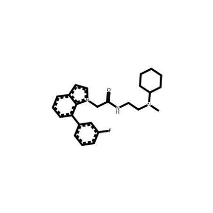 CN(CCNC(=O)Cn1ccc2cccc(-c3cccc(F)c3)c21)C1CCCCC1